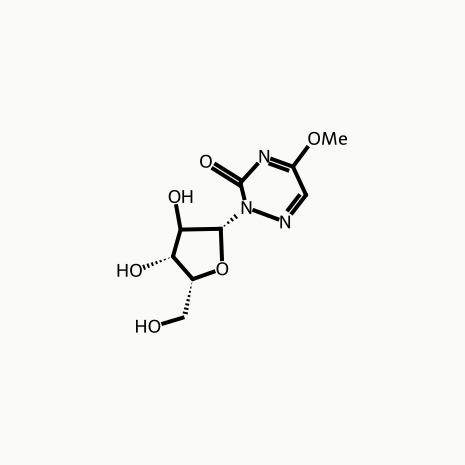 COc1cnn([C@@H]2O[C@H](CO)[C@H](O)C2O)c(=O)n1